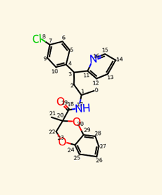 CC(CC(c1ccc(Cl)cc1)c1ccccn1)NC(=O)C1(C)COc2ccccc2O1